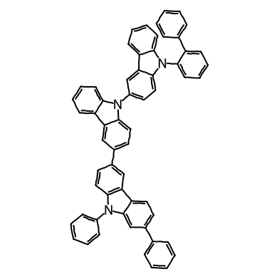 c1ccc(-c2ccc3c4cc(-c5ccc6c(c5)c5ccccc5n6-c5ccc6c(c5)c5ccccc5n6-c5ccccc5-c5ccccc5)ccc4n(-c4ccccc4)c3c2)cc1